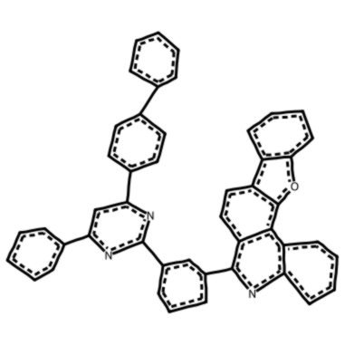 c1ccc(-c2ccc(-c3cc(-c4ccccc4)nc(-c4cccc(-c5nc6ccccc6c6c5ccc5c7ccccc7oc56)c4)n3)cc2)cc1